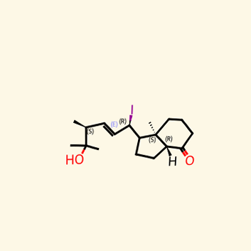 C[C@@H](/C=C/[C@@H](I)C1CC[C@H]2C(=O)CCC[C@]12C)C(C)(C)O